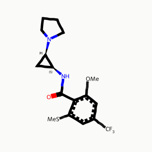 COc1cc(C(F)(F)F)cc(SC)c1C(=O)N[C@H]1C[C@H]1N1CCCC1